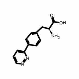 N[C@@H](Cc1ccc(-c2cccnn2)cc1)C(=O)O